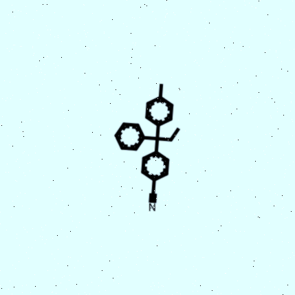 CCC(c1ccccc1)(c1ccc(C)cc1)c1ccc(C#N)cc1